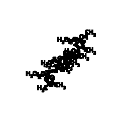 CCO[Si](CC[Si](C)(C)OC(C)(C)[Si](C)(C)OC(C)(CC)[Si](C)(C)CC[Si](OCC)(OCC)OCC)(OCC)OCC